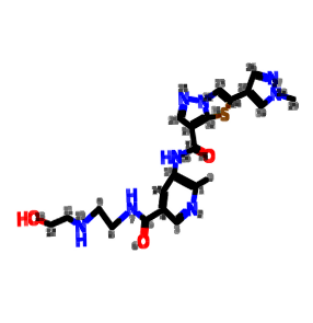 Cc1ncc(C(=O)NCCNCCO)cc1NC(=O)c1cnn2cc(-c3cnn(C)c3)sc12